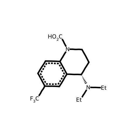 CCN(CC)[C@H]1CCN(C(=O)O)c2ccc(C(F)(F)F)cc21